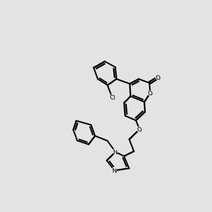 O=c1cc(-c2ccccc2Cl)c2ccc(OCCc3cncn3Cc3ccccc3)cc2o1